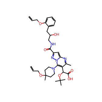 C=CCOc1ccccc1CC(O)CNC(=O)c1cc2nc(C)c(C(OC(C)(C)C)C(=O)O)c(N3CCC(C)(OCC=C)CC3)n2n1